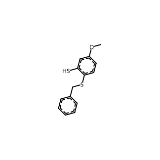 COc1ccc(SCc2ccccc2)c(S)c1